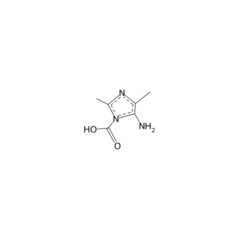 Cc1nc(C)n(C(=O)O)c1N